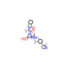 C=C(NCc1ccc(-c2scnc2C)cc1C(C)C)[C@@H]1C[C@@H](O)CN1C(=O)[C@H](C(C)C)N1Cc2ccccc2C1=O